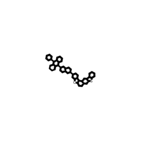 C1=c2c(-c3ccccc3)c3ccccc3c(-c3ccc4cc(-c5ccc6c(c5)oc5ccc7cc8sc9ccccc9c8cc7c56)ccc4c3)c2=CCC1